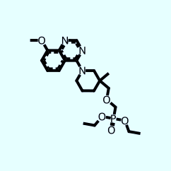 CCOP(=O)(COCC1(C)CCCN(c2ncnc3c(OC)cccc23)C1)OCC